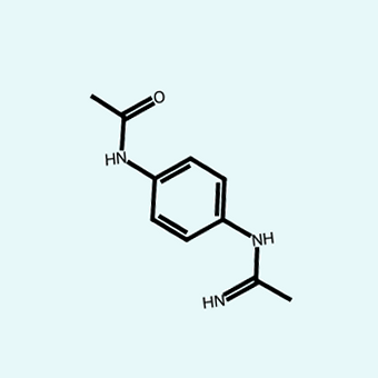 CC(=N)Nc1ccc(NC(C)=O)cc1